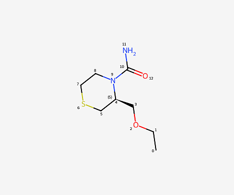 CCOC[C@H]1CSCCN1C(N)=O